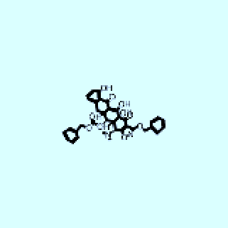 CN(C)[C@@H]1c2onc(OCc3ccccc3)c2C(=O)[C@@]2(O)C(O)=C3C(=O)c4c(O)cccc4C[C@H]3[C@H](OC(=O)OCc3ccccc3)[C@@H]12